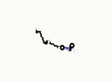 CN(/N=C/c1cc[n+](CCCCCCn2cc[n+](CCCCn3ccnc3)c2)cc1)c1ccccc1